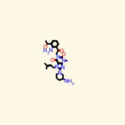 CC(=O)c1cccc(C(=O)Cn2c(=O)c3c(nc(N4CCCC(N)C4)n3CC=C(C)C)n(C)c2=O)c1N